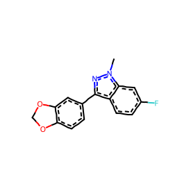 Cn1nc(-c2ccc3c(c2)OCO3)c2ccc(F)cc21